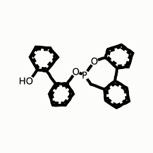 Oc1ccccc1-c1ccccc1OP1Cc2ccccc2-c2ccccc2O1